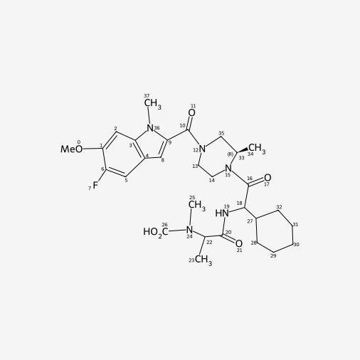 COc1cc2c(cc1F)cc(C(=O)N1CCN(C(=O)C(NC(=O)C(C)N(C)C(=O)O)C3CCCCC3)[C@H](C)C1)n2C